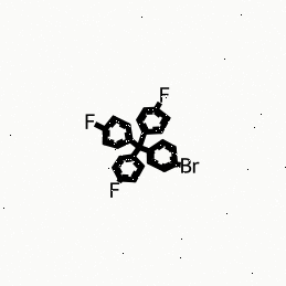 Fc1ccc(C(c2ccc(F)cc2)(c2ccc(F)cc2)c2ccc(Br)cc2)cc1